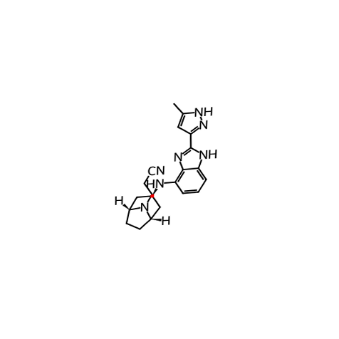 Cc1cc(-c2nc3c(N[C@@H]4C[C@H]5CC[C@@H](C4)N5CCC#N)cccc3[nH]2)n[nH]1